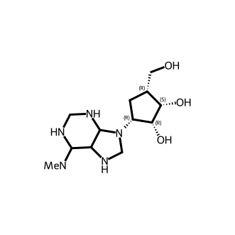 CNC1NCNC2C1NCN2[C@@H]1C[C@H](CO)[C@H](O)[C@@H]1O